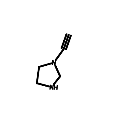 C#CN1CCNC1